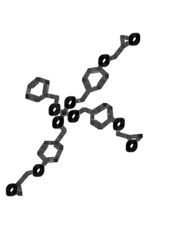 c1ccc(COC(OCc2ccc(OCC3CO3)cc2)(OCc2ccc(OCC3CO3)cc2)OCc2ccc(OCC3CO3)cc2)cc1